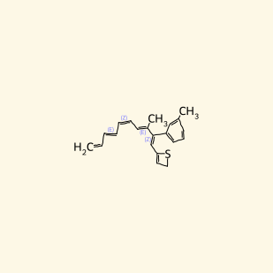 C=C/C=C/C=C\C=C(C)\C(=C\C1=CCS1)c1cccc(C)c1